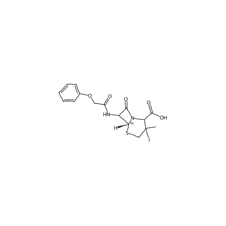 CC1(I)CS[C@@H]2C(NC(=O)COc3ccccc3)C(=O)N2C1C(=O)O